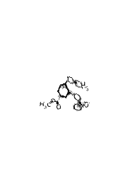 COC(=O)[C@@H]1CC[C@@H](OC)[C@H](O[N+](=O)[O-])C1